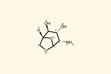 N[C@@H]1C2OC[C@@H](O2)[C@@H](O)[C@@H]1O